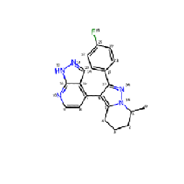 C[C@H]1CCCc2c(-c3ccnc4[nH]ncc34)c(-c3ccc(F)cc3)nn21